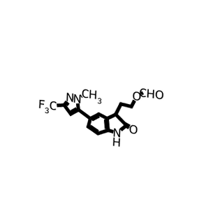 Cn1nc(C(F)(F)F)cc1-c1ccc2c(c1)C(CCOC=O)C(=O)N2